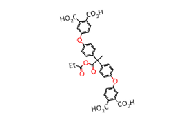 CCC(=O)OC(=O)C(C)(c1ccc(Oc2ccc(C(=O)O)c(C(=O)O)c2)cc1)c1ccc(Oc2ccc(C(=O)O)c(C(=O)O)c2)cc1